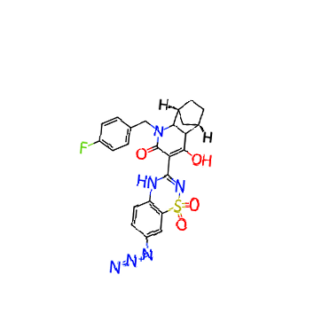 [N-]=[N+]=Nc1ccc2c(c1)S(=O)(=O)N=C(C1=C(O)C3C([C@@H]4CC[C@H]3C4)N(Cc3ccc(F)cc3)C1=O)N2